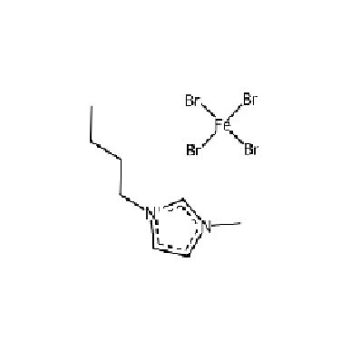 CCCC[n+]1ccn(C)c1.[Br][Fe]([Br])([Br])[Br]